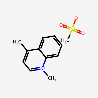 CS(=O)(=O)[O-].Cc1cc[n+](C)c2ccccc12